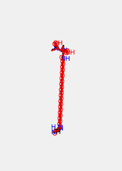 CCCCCN1/C(=C/C=C/C=C/C2=[N+](CCCCC)c3ccc(S(=O)(=O)O)cc3C2(C)CCCCCC(=O)NCCOCCOCCOCCOCCOCCOCCOCCOCCOCCOCCOCCOCCOCCOCCOCCOCCOCCOCCOCCOCCOCCOCCOCCn2nnc3c2CC[C@H]2[C@@H](CC3)[C@H]2COC(=O)NC)C(C)(C)c2cc(S(=O)(=O)O)ccc21